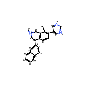 Cc1c(-c2cncnc2)ccc2c1CN(C)CC2c1ccc2ccccc2c1